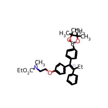 CCOC(=O)N(C)CCOc1ccc(/C(=C(/CC)c2ccccc2)c2ccc(B3OC(C)(C)C(C)(C)O3)cc2)cc1